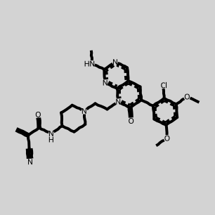 C=C(C#N)C(=O)NC1CCN(CCn2c(=O)c(-c3cc(OC)cc(OC)c3Cl)cc3cnc(NC)nc32)CC1